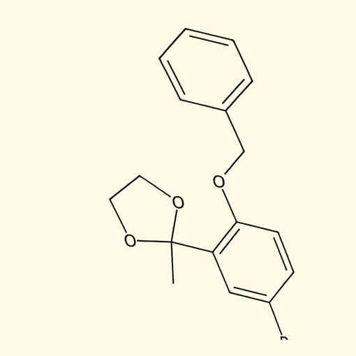 CC1(c2cc(Br)ccc2OCc2ccccc2)OCCO1